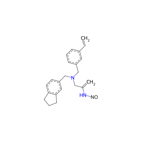 C=Cc1cccc(CN(CC(=C)NN=O)Cc2ccc3c(c2)CCC3)c1